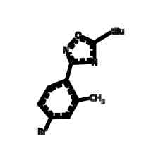 Cc1cc(Br)ccc1-c1noc(C(C)(C)C)n1